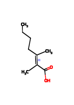 CCCC/C(C)=C(\C)C(=O)O